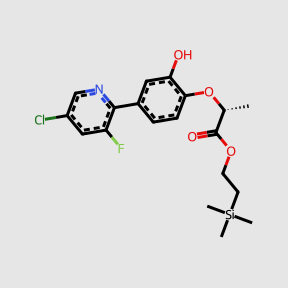 C[C@@H](Oc1ccc(-c2ncc(Cl)cc2F)cc1O)C(=O)OCC[Si](C)(C)C